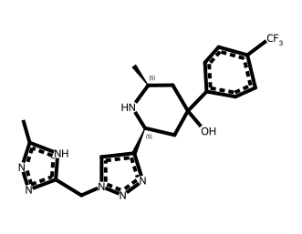 Cc1nnc(Cn2cc([C@@H]3CC(O)(c4ccc(C(F)(F)F)cc4)C[C@H](C)N3)nn2)[nH]1